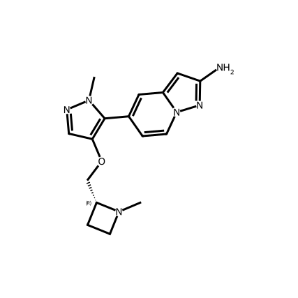 CN1CC[C@@H]1COc1cnn(C)c1-c1ccn2nc(N)cc2c1